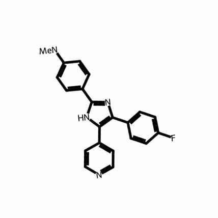 CNc1ccc(-c2nc(-c3ccc(F)cc3)c(-c3ccncc3)[nH]2)cc1